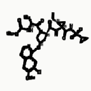 C=C[C@@H]1C[C@]1(NC(=O)[C@@H]1C[C@@H](Oc2nccc3cc(OC)c(Cl)cc23)CN1C(=O)[C@@H](NC(=O)OC(C)(C)C)C(C)(C)C)C(=O)NS(=O)(=O)C1CC1